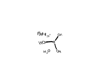 O.OB(O)O.[PbH2]